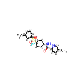 O=C(N[C@H]1CC[C@@](F)(S(=O)(=O)c2cccc(C(F)(F)F)c2)CC1)c1ccc(C(F)(F)F)cn1